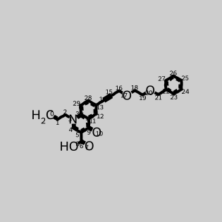 C=CCn1cc(C(=O)O)c(=O)c2cc(C#CCOCCOCc3ccccc3)ccc21